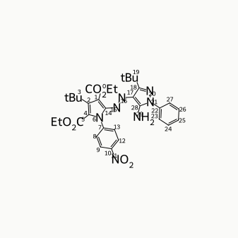 CCOC(=O)c1c(C(C)(C)C)c(C(=O)OCC)n(-c2ccc([N+](=O)[O-])cc2)c1/N=N/c1c(C(C)(C)C)nn(-c2ccccc2)c1N